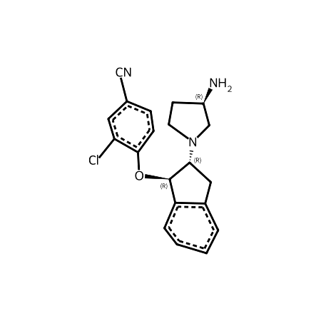 N#Cc1ccc(O[C@@H]2c3ccccc3C[C@H]2N2CC[C@@H](N)C2)c(Cl)c1